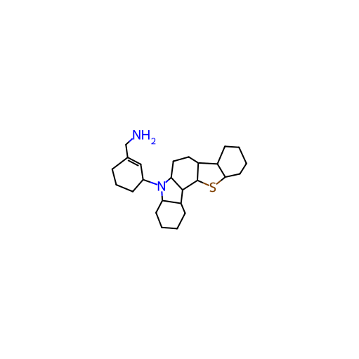 NCC1=CC(N2C3CCCCC3C3C4SC5CCCCC5C4CCC32)CCC1